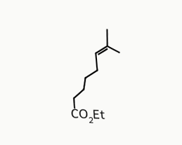 CCOC(=O)CCCCC=C(C)C